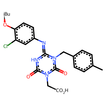 CC[C@H](C)Oc1ccc(/N=c2\[nH]c(=O)n(CC(=O)O)c(=O)n2Cc2ccc(C)cc2)cc1Cl